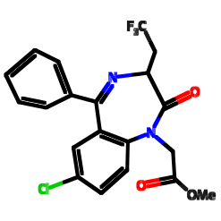 COC(=O)CN1C(=O)C(CC(F)(F)F)N=C(c2ccccc2)c2cc(Cl)ccc21